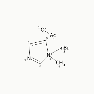 CC(=O)[O-].CCCC[N+]1(C)C=CN=C1